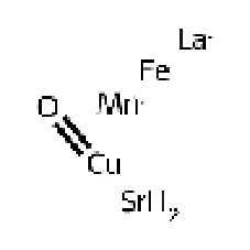 [Fe].[La].[Mn].[O]=[Cu].[SrH2]